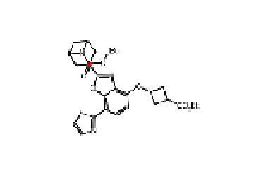 CCOC(=O)C1CC(Oc2ccc(-c3nccs3)c3oc(N4CC5CC(C4)N5C(=O)OC(C)(C)C)nc23)C1